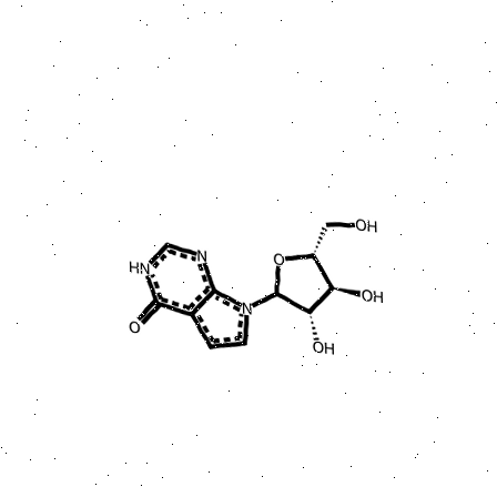 O=c1[nH]cnc2c1ccn2C1O[C@H](CO)[C@@H](O)[C@@H]1O